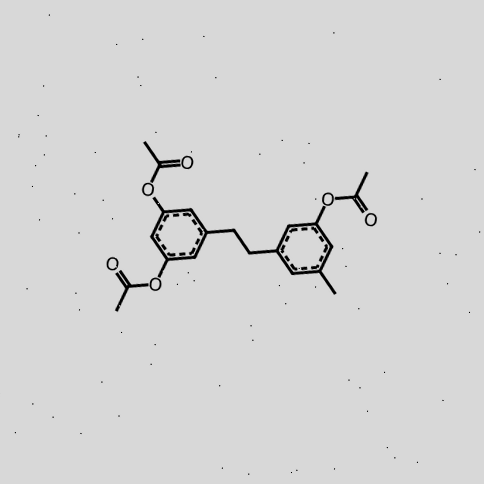 CC(=O)Oc1cc(C)cc(CCc2cc(OC(C)=O)cc(OC(C)=O)c2)c1